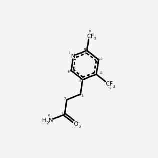 NC(=O)C[CH]c1cnc(C(F)(F)F)cc1C(F)(F)F